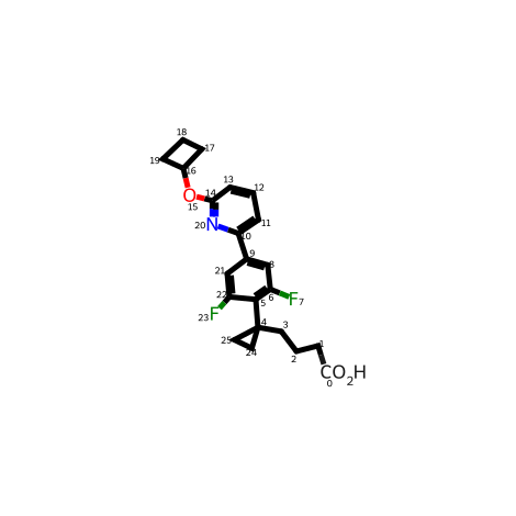 O=C(O)CCCC1(c2c(F)cc(-c3cccc(OC4CCC4)n3)cc2F)CC1